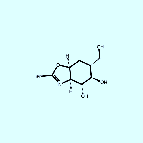 CC(C)C1=N[C@@H]2[C@@H](O)[C@H](O)[C@@H](CO)C[C@@H]2O1